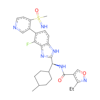 CCc1nocc1C(=O)N[C@H](c1nc2c(F)c(-c3cnccc3S(C)(=N)=O)ccc2[nH]1)C1CCC(C)CC1